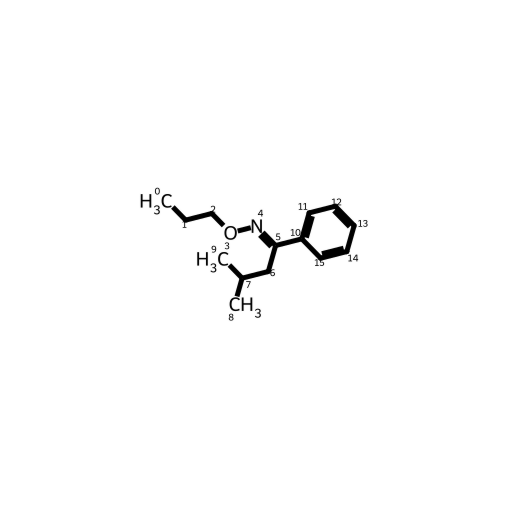 CCCO/N=C(\CC(C)C)c1ccccc1